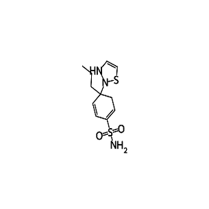 CCCC1(N2NC=CS2)C=CC(S(N)(=O)=O)=CC1